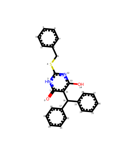 O=c1[nH]c(SCc2ccccc2)nc(O)c1C(c1ccccc1)c1ccccc1